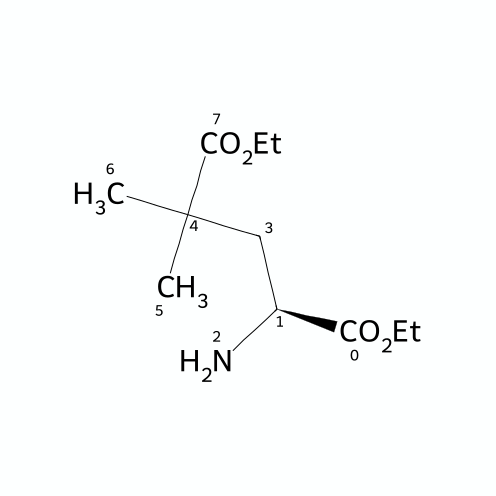 CCOC(=O)[C@@H](N)CC(C)(C)C(=O)OCC